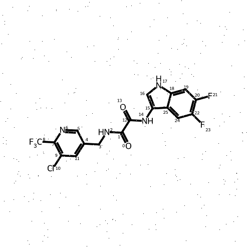 O=C(NCc1cnc(C(F)(F)F)c(Cl)c1)C(=O)Nc1c[nH]c2cc(F)c(F)cc12